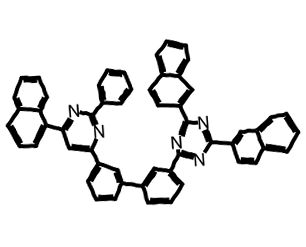 c1ccc(-c2nc(-c3cccc(-c4cccc(-c5nc(-c6ccc7ccccc7c6)nc(-c6ccc7ccccc7c6)n5)c4)c3)cc(-c3cccc4ccccc34)n2)cc1